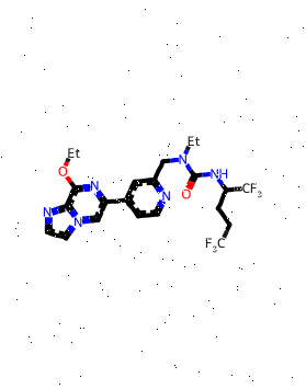 CCOc1nc(-c2ccnc(CN(CC)C(=O)NC(CCC(F)(F)F)C(F)(F)F)c2)cn2ccnc12